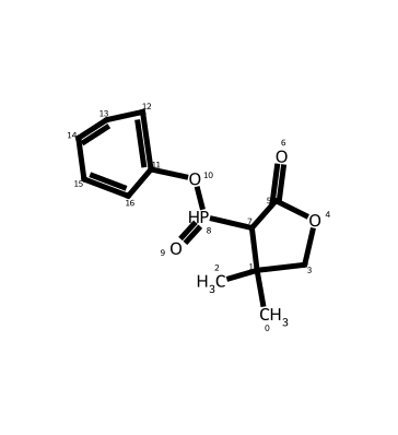 CC1(C)COC(=O)C1[PH](=O)Oc1ccccc1